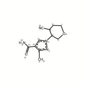 Cc1nn(C2COCCC2C#N)cc1C(N)=O